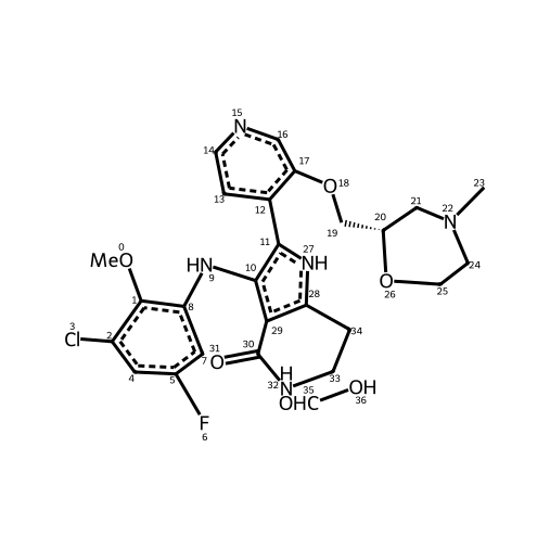 COc1c(Cl)cc(F)cc1Nc1c(-c2ccncc2OC[C@@H]2CN(C)CCO2)[nH]c2c1C(=O)NCC2.O=CO